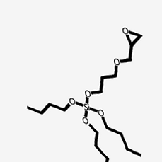 CCCCO[Si](OCCCC)(OCCCC)OCCCOCC1CO1